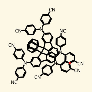 [C-]#[N+]c1ccc(N(c2ccc(C#N)cc2)c2ccc3c(c2)C(c2ccccc2)(C2(c4ccccc4)c4cc(N(c5ccc(C#N)cc5)c5ccc([N+]#[C-])cc5)ccc4-c4ccc(N(c5ccc(C#N)cc5)c5ccc([N+]#[C-])cc5)cc42)c2cc(N(c4ccc(C#N)cc4)c4ccc([N+]#[C-])cc4)ccc2-3)cc1